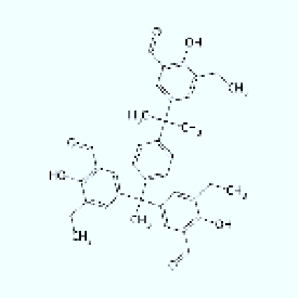 CCc1cc(C(C)(C)c2ccc(C(C)(c3cc(C=O)c(O)c(CC)c3)c3cc(C=O)c(O)c(CC)c3)cc2)cc(C=O)c1O